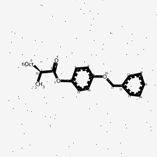 CCCCCCCC[C@H](C)C(=O)Oc1ccc(OCc2ccccc2)cc1